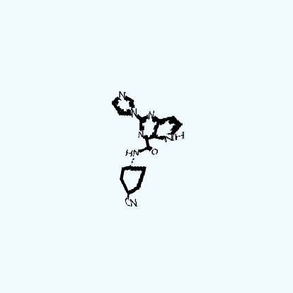 N#C[C@H]1CC[C@H](NC(=O)c2nc(-n3ccnc3)nc3cc[nH]c23)CC1